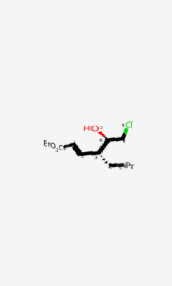 CCOC(=O)/C=C/[C@@H](CC(C)C)[C@@H](O)CCl